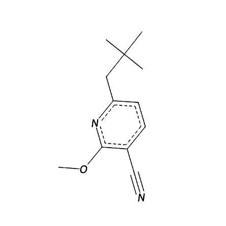 COc1nc(CC(C)(C)C)ccc1C#N